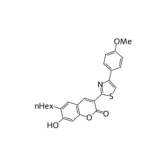 CCCCCCc1cc2cc(-c3nc(-c4ccc(OC)cc4)cs3)c(=O)oc2cc1O